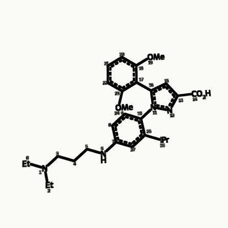 CCN(CC)CCCNc1ccc(-n2nc(C(=O)O)cc2-c2c(OC)cccc2OC)c(C(C)C)c1